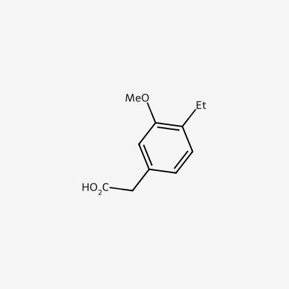 CCc1ccc(CC(=O)O)cc1OC